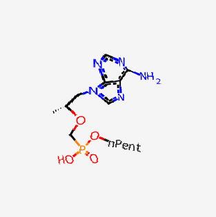 CCCCCOP(=O)(O)CO[C@H](C)Cn1cnc2c(N)ncnc21